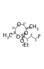 CCO[Si]1(CCCI)OC(C)COCC(C)O1